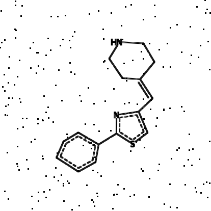 C(=C1CCNCC1)c1csc(-c2ccccc2)n1